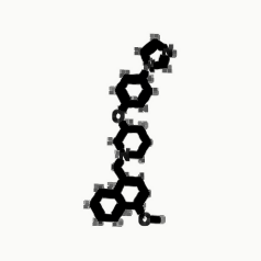 COc1ccc(CN2CCCC(Oc3ccc(-n4ccnc4)cc3)C2)c2ccccc12